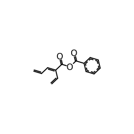 C=C/C=C(\C=C)C(=O)OC(=O)c1ccccc1